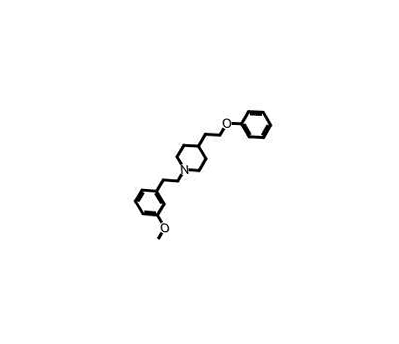 COc1cccc(CCN2CCC(CCOc3ccccc3)CC2)c1